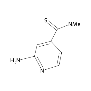 CNC(=S)c1ccnc(N)c1